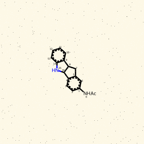 CC(=O)Nc1ccc2c(c1)CC1c3ccccc3NC21